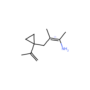 C=C(C)C1(C/C(C)=C(/C)N)CC1